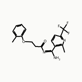 Cc1ccccc1OCCC(=O)/N=C(/N)c1ccc(C(F)(F)F)nc1C